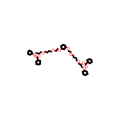 O=C(OC(COCCCCOCCOc1cccc(OCCOCCCCOCC(COc2ccccc2)OC(=O)c2ccccc2)c1)COc1ccccc1)c1ccccc1